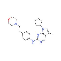 Cc1cn(C2CCCC2)c2nc(Nc3ccc(CCN4CCOCC4)cc3)ncc12